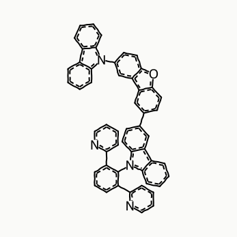 c1ccc(-c2cccc(-c3ccccn3)c2-n2c3ccccc3c3cc(-c4ccc5oc6ccc(-n7c8ccccc8c8ccccc87)cc6c5c4)ccc32)nc1